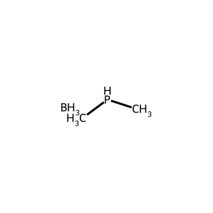 B.CPC